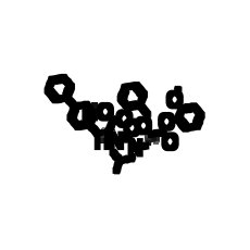 COc1ccccc1OC(=O)[C@H](CN(CC(C)C)C(=O)N[C@@H](Cc1ccc(-c2ccccc2)cc1)C(=O)O)OCc1ccccc1